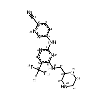 N#Cc1ccc(Nc2ncc(C(F)(F)F)c(NCC3CNCCO3)n2)cn1